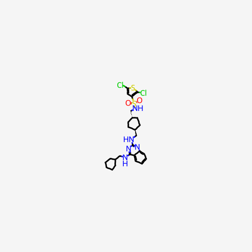 O=S(=O)(NC[C@H]1CC[C@H](CNc2nc(NCC3CCCCC3)c3ccccc3n2)CC1)c1cc(Cl)sc1Cl